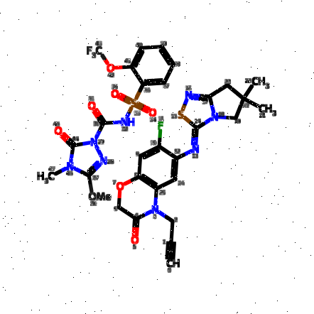 C#CCN1C(=O)COc2cc(F)c(/N=c3\snc4n3CC(C)(C)C4)cc21.COc1nn(C(=O)NS(=O)(=O)c2ccccc2OC(F)(F)F)c(=O)n1C